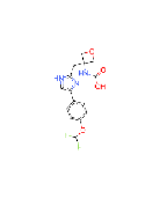 O=C(O)NC1(Cc2nc(-c3ccc(OC(F)F)cc3)c[nH]2)COC1